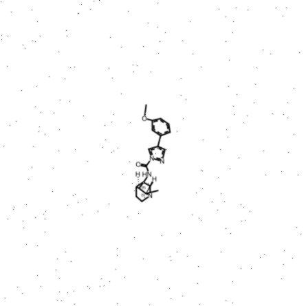 COc1cccc(-c2cnn(C(=O)N[C@@H]3C4CCN(CC4)[C@H]3C)c2)c1